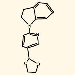 c1ccc2c(c1)CCN2c1ccc(C2OCCO2)cn1